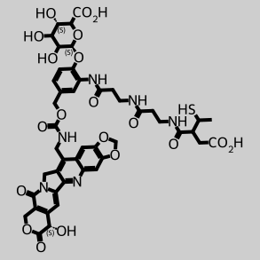 CC(S)C(CC(=O)O)C(=O)NCCC(=O)NCCC(=O)Nc1cc(COC(=O)NCc2c3c(nc4cc5c(cc24)OCO5)-c2cc4c(c(=O)n2C3)COC(=O)[C@H]4O)ccc1O[C@@H]1OC(C(=O)O)[C@@H](O)C(O)C1O